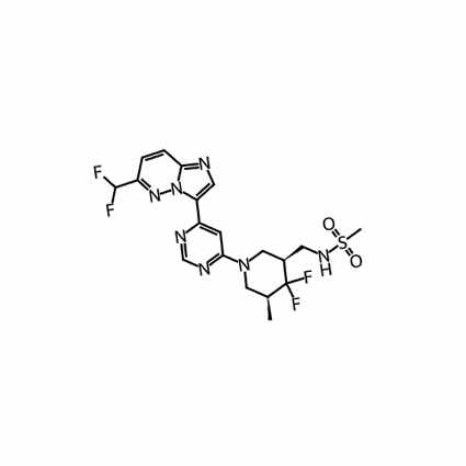 C[C@H]1CN(c2cc(-c3cnc4ccc(C(F)F)nn34)ncn2)C[C@@H](CNS(C)(=O)=O)C1(F)F